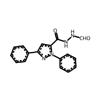 O=CNNC(=O)c1cc(-c2ccccc2)nn1-c1ccccc1